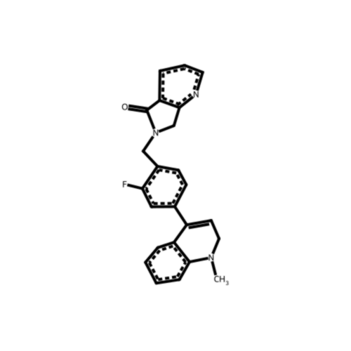 CN1CC=C(c2ccc(CN3Cc4ncccc4C3=O)c(F)c2)c2ccccc21